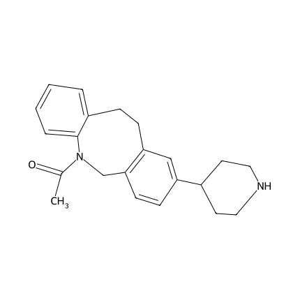 CC(=O)N1Cc2ccc(C3CCNCC3)cc2CCc2ccccc21